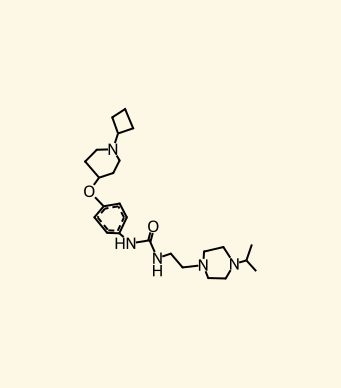 CC(C)N1CCN(CCNC(=O)Nc2ccc(OC3CCN(C4CCC4)CC3)cc2)CC1